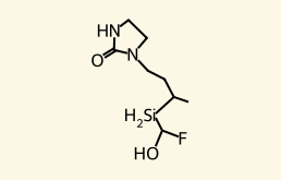 CC(CCN1CCNC1=O)[SiH2]C(O)F